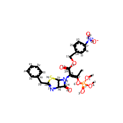 COP(=O)(OC)OC(C)=C(C(=O)OCc1ccc([N+](=O)[O-])cc1)N1C(=O)C2N=C(Cc3ccccc3)SC21